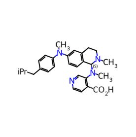 CC(C)Cc1ccc(N(C)c2ccc3c(c2)CCN(C)[C@H]3N(C)c2cnccc2C(=O)O)cc1